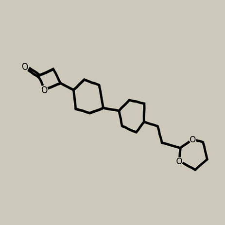 O=C1CC(C2CCC(C3CCC(CCC4OCCCO4)CC3)CC2)O1